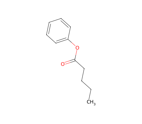 CCCCC(=O)Oc1ccccc1